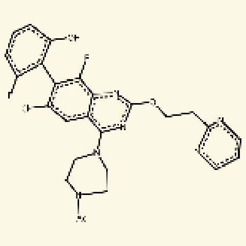 CC(=O)N1CCN(c2nc(OCCc3ncccn3)nc3c(F)c(-c4c(O)cccc4F)c(Cl)cc23)CC1